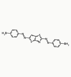 Bc1ccc(N=Nc2cc3sc(N=Nc4ccc(B)cc4)nc3s2)cc1